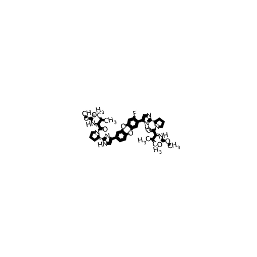 COC(=O)N[C@H](C(=O)N1CCC[C@H]1c1nc(-c2ccc3c(c2)Oc2cc(F)c(-c4cnc([C@@H]5CCCN5C(=O)[C@@H](NC(=O)OC)C(C)C)[nH]4)cc2O3)c[nH]1)C(C)C